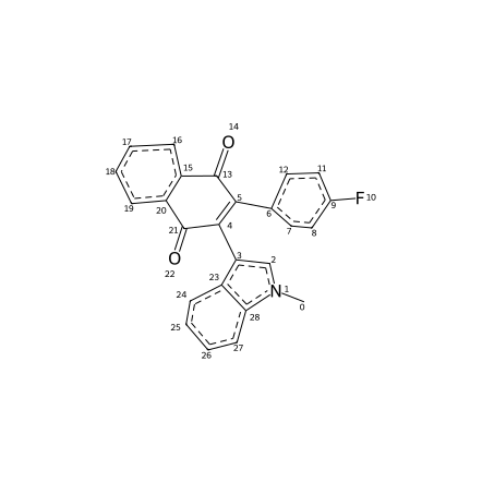 Cn1cc(C2=C(c3ccc(F)cc3)C(=O)c3ccccc3C2=O)c2ccccc21